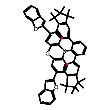 CC1(C)c2ccc(-c3cccc(-c4ccc5c(c4)C(C)(C)C(C)(C)C5(C)C)c3N3c4ccc(-c5cc6ccccc6o5)cc4Oc4cc(-c5cc6ccccc6o5)ccc43)cc2C(C)(C)C1(C)C